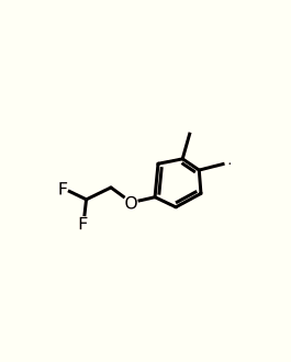 [CH2]c1ccc(OCC(F)F)cc1C